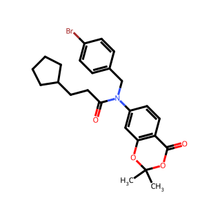 CC1(C)OC(=O)c2ccc(N(Cc3ccc(Br)cc3)C(=O)CCC3CCCC3)cc2O1